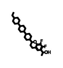 CCC1CCC(C2CCC(C3CCC(C4CCc5cc(C(C)O)c(F)c(F)c5O4)CC3)CC2)CC1